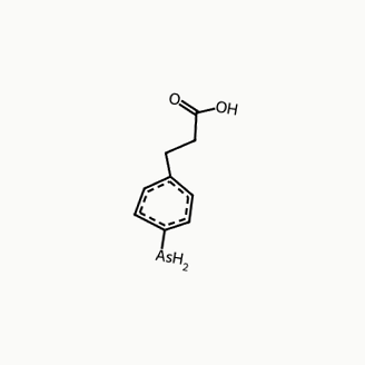 O=C(O)CCc1ccc([AsH2])cc1